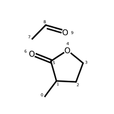 CC1CCOC1=O.CC=O